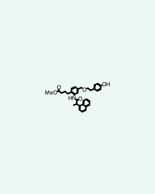 COC(=O)CCCc1ccc(COCCc2ccc(O)cc2)cc1NC(=O)C(C)c1cccc2ccccc12